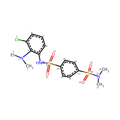 CCN(C)c1c(Cl)cccc1NS(=O)(=O)c1ccc(S(=O)(=O)N(C)C)cc1